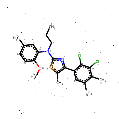 CCCN(c1nc(-c2cc(C)c(C)c(Cl)c2Cl)c(C)s1)c1cc(C)ccc1OC